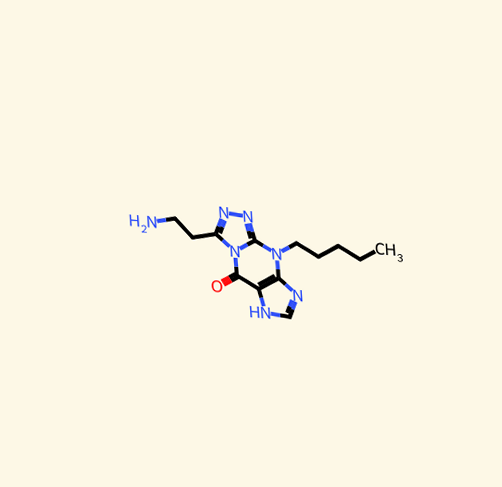 CCCCCn1c2nc[nH]c2c(=O)n2c(CCN)nnc12